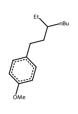 CCCCC(CC)C[CH]c1ccc(OC)cc1